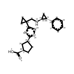 O=C(O)[C@@H]1CC[C@H](c2nc(C3(CN[C@H]4C[C@@H]4c4ccccc4)CC3)no2)C1